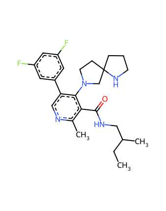 CCC(C)CNC(=O)c1c(C)ncc(-c2cc(F)cc(F)c2)c1N1CCC2(CCCN2)C1